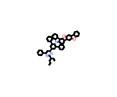 C=C/C=C(\C=C)c1nc(-c2ccccc2)cc(-c2cc(-c3ccccc3)c(-n3c4ccccc4c4c5oc6cc7c(cc6c5ccc43)oc3ccccc37)c(-c3ccccc3)c2)n1